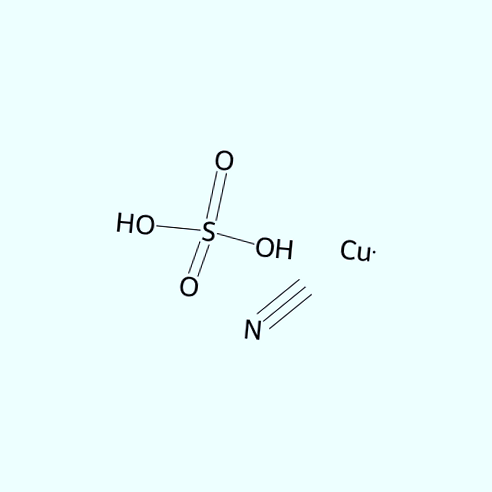 C#N.O=S(=O)(O)O.[Cu]